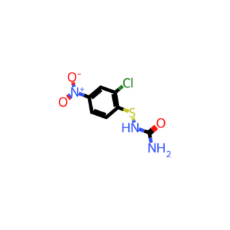 NC(=O)NSc1ccc([N+](=O)[O-])cc1Cl